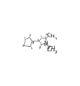 CC1CC(C2CCCC2)CN1C